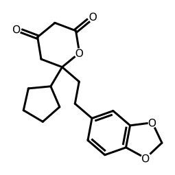 O=C1CC(=O)OC(CCc2ccc3c(c2)OCO3)(C2CCCC2)C1